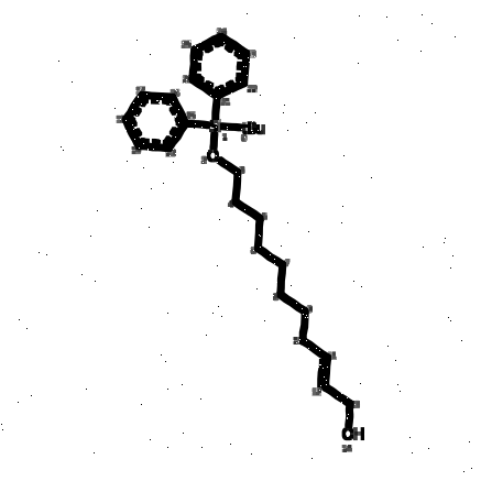 CC(C)(C)[Si](OCCCCCCCCC=CCO)(c1ccccc1)c1ccccc1